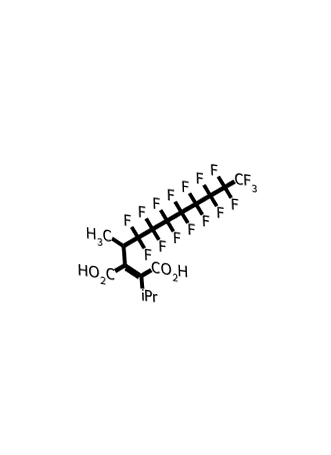 CC(C)/C(C(=O)O)=C(\C(=O)O)C(C)C(F)(F)C(F)(F)C(F)(F)C(F)(F)C(F)(F)C(F)(F)C(F)(F)C(F)(F)F